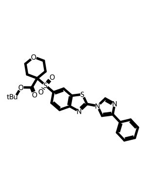 CC(C)(C)OC(=O)C1(S(=O)(=O)c2ccc3nc(-n4cnc(-c5ccccc5)c4)sc3c2)CCOCC1